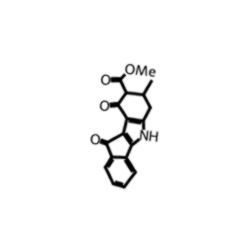 COC(=O)C1C(=O)c2c([nH]c3c2C(=O)c2ccccc2-3)CC1C